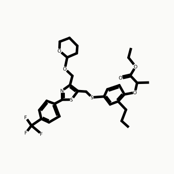 CCCc1cc(SCc2sc(-c3ccc(C(F)(F)F)cc3)nc2COC2CCCCO2)ccc1OC(C)C(=O)OCC